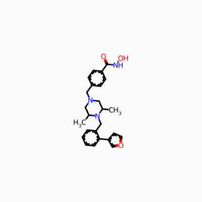 CC1CN(Cc2ccc(C(=O)NO)cc2)CC(C)N1Cc1ccccc1-c1ccoc1